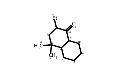 CCC1CC(C)(C)C2CCCCC2C1=O